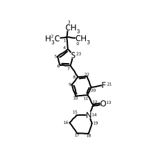 CC(C)(C)c1ccc(-c2ccc(C(=O)N3CCCCC3)c(F)c2)s1